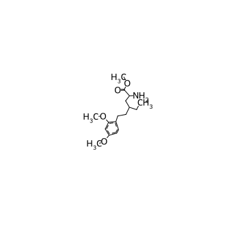 CCC(CCc1ccc(OC)cc1OC)CC(N)C(=O)OC